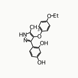 CCOc1ccc(Oc2c(-c3ccc(O)cc3O)n[nH]c2C)cc1